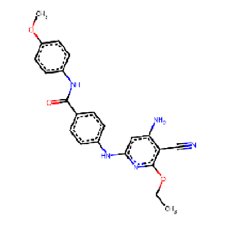 CCOc1nc(Nc2ccc(C(=O)Nc3ccc(OC)cc3)cc2)cc(N)c1C#N